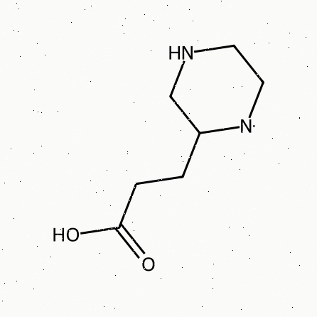 O=C(O)CCC1CNCC[N]1